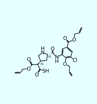 C=CCOC(=O)c1cc(Cl)c(OCC=C)c(NC(=O)[C@@H]2C[C@@H](C(C(=O)S)C(=O)OCC=C)CN2)c1